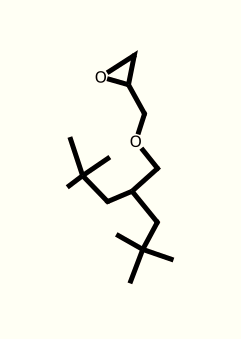 CC(C)(C)CC(COCC1CO1)CC(C)(C)C